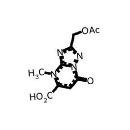 CC(=O)OCc1nc2n(C)c(C(=O)O)cc(=O)n2n1